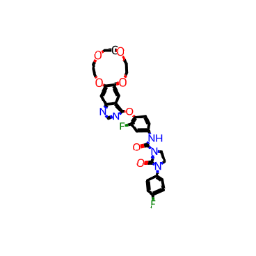 O=C(Nc1ccc(Oc2ncnc3cc4c(cc23)OCCOCCOCCO4)c(F)c1)N1CCN(c2ccc(F)cc2)C1=O